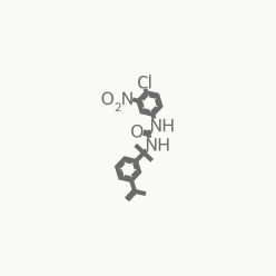 C=C(C)c1cccc(C(C)(C)NC(=O)Nc2ccc(Cl)c([N+](=O)[O-])c2)c1